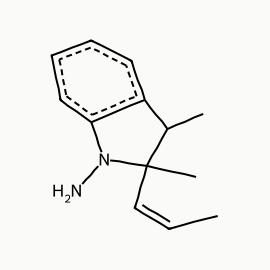 C/C=C\C1(C)C(C)c2ccccc2N1N